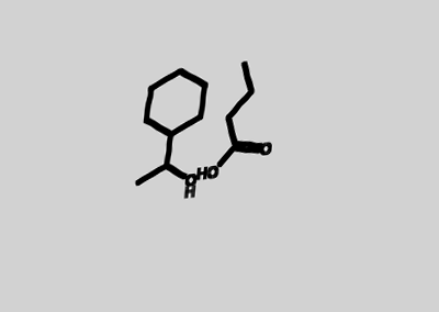 CC(O)C1CCCCC1.CCCC(=O)O